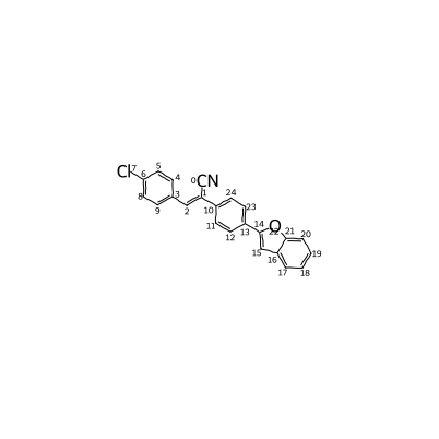 N#CC(=Cc1ccc(Cl)cc1)c1ccc(-c2cc3ccccc3o2)cc1